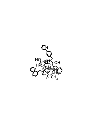 CC(C)(C)[C@H](NC(=O)O)C(=O)N[C@@H](Cc1ccc(-c2ccccn2)cc1)[C@H](O)C[C@H](Cc1ccccc1)NC(=O)[C@@H](N1CCN(Cc2ccnc3ccccc23)C1=O)C(C)(C)C